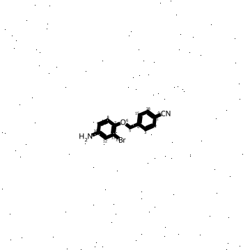 N#Cc1ccc(COc2ccc(N)cc2Br)cc1